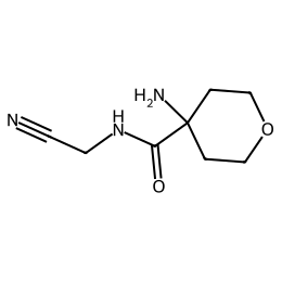 N#CCNC(=O)C1(N)CCOCC1